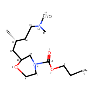 CC(C)CCOC(=O)N1CCOC(C[C@H](C)CCN(C)C=O)C1